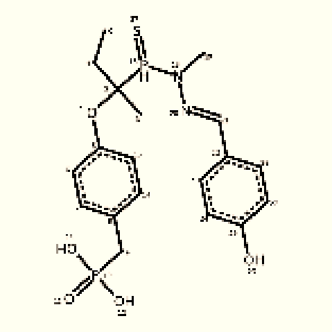 CCC(C)(Oc1ccc(CP(=O)(O)O)cc1)[PH](=S)N(C)/N=C/c1ccc(O)cc1